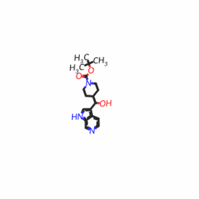 CC(C)(C)OC(=O)N1CCC(C(O)c2c[nH]c3cnccc23)CC1